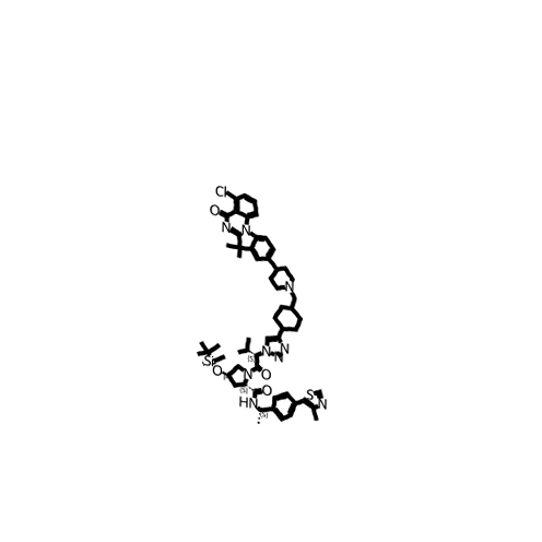 Cc1ncsc1-c1ccc([C@H](C)NC(=O)[C@@H]2C[C@@H](O[Si](C)(C)C(C)(C)C)CN2C(=O)[C@H](C(C)C)n2cc(C3CCC(CN4CCC(c5ccc6c(c5)C(C)(C)c5nc(=O)c7c(Cl)cccc7n5-6)CC4)CC3)nn2)cc1